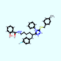 Cc1ccc(CSc2nnc(C(CCCCNC(=O)c3ccccc3O)Cc3ccc(F)cc3)n2-c2ccccc2)cc1